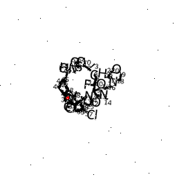 C[C@@H]1[C@@H](C)C/C=C(\F)C(CO)(C(=O)N(C)CCN2CCOCC2)N2CCC[C@@]23CN2CCCCc4cc(Cl)cc3c4COc3ccc(cc32)C(=O)NS1(=O)=O